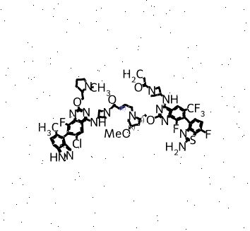 C=CC(=O)N1CC(Nc2nc(OC[C@@H]3C[C@@H](OC)CN3C/C=C/C(=O)N3CC(Nc4nc(OCC5CCCN5C)nc5c(F)c(-c6c(C)ccc7[nH]ncc67)c(Cl)cc45)C3)nc3c(F)c(-c4ccc(F)c5sc(N)nc45)c(C(F)(F)F)cc23)C1